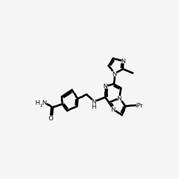 Cc1nccn1-c1cn2c(C(C)C)cnc2c(NCc2ccc(C(N)=O)cc2)n1